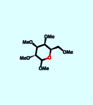 COC[C@H]1OC(OC)[C@H](OC)[C@@H](OC)[C@H]1OC